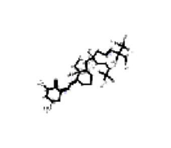 C=C1/C(=C\C=C2/CCC[C@]3(C)[C@@H]([C@](C)(C/C=C/C(O)(CF)C(F)(F)F)CCCC(C)(C)O)CC[C@@H]23)C[C@@H](O)CC1O